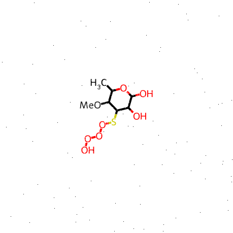 COC1C(C)OC(O)C(O)C1SOOOO